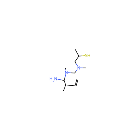 C=CC(C)C(N)N(C)CN(C)CC(C)S